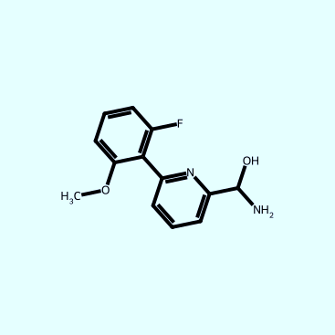 COc1cccc(F)c1-c1cccc(C(N)O)n1